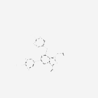 CC(=O)c1nn(CC(=O)O)c2c(Cc3cnc(C)nc3)cc(-c3cnc(C)nc3)cc12